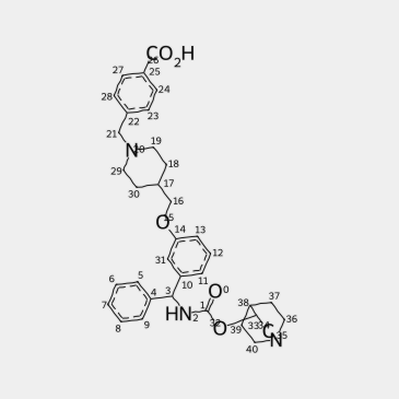 O=C(NC(c1ccccc1)c1cccc(OCC2CCN(Cc3ccc(C(=O)O)cc3)CC2)c1)OC1CN2CCC1CC2